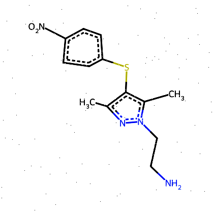 Cc1nn(CCN)c(C)c1Sc1ccc([N+](=O)[O-])cc1